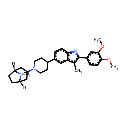 COc1ccc(-c2[nH]c3ccc(C4CCN(C5C[C@H]6CC[C@@H](C5)N6C)CC4)cc3c2C)cc1OC